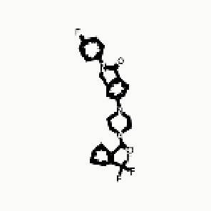 O=C(c1ccccc1C(F)(F)F)N1CCN(c2ccc3c(c2)CN(c2ccc(F)cc2)C3=O)CC1